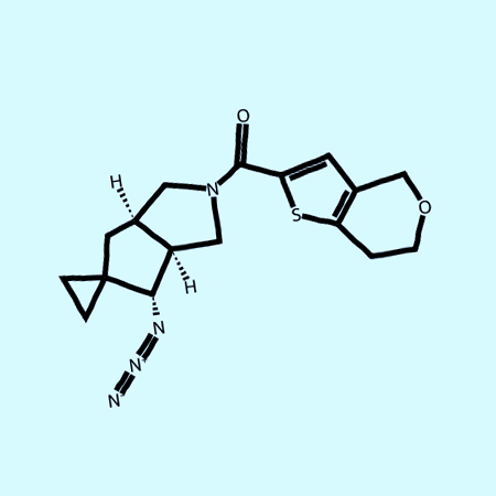 [N-]=[N+]=N[C@H]1[C@@H]2CN(C(=O)c3cc4c(s3)CCOC4)C[C@@H]2CC12CC2